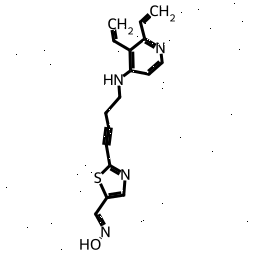 C=Cc1nccc(NCCC#Cc2ncc(/C=N/O)s2)c1C=C